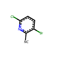 [C-]#[N+]c1nc(Cl)ccc1Br